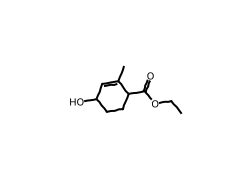 CCOC(=O)C1CCC(O)C=C1C